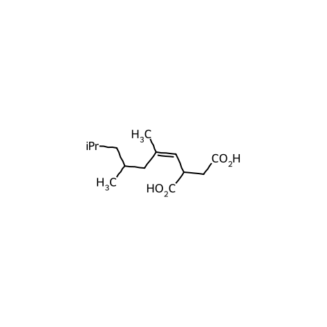 CC(=CC(CC(=O)O)C(=O)O)CC(C)CC(C)C